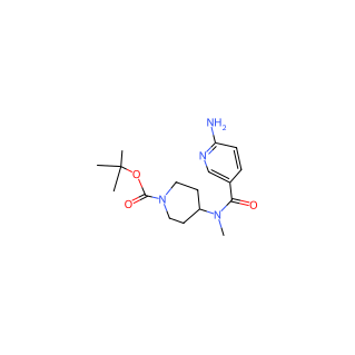 CN(C(=O)c1ccc(N)nc1)C1CCN(C(=O)OC(C)(C)C)CC1